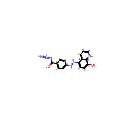 [N-]=[N+]=NC(=O)c1ccc(N=Nc2ccc(O)c3ncccc23)cc1